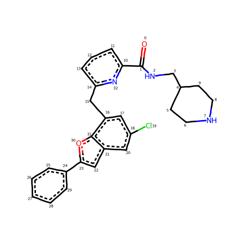 O=C(NCC1CCNCC1)c1cccc(Cc2cc(Cl)cc3cc(-c4ccccc4)oc23)n1